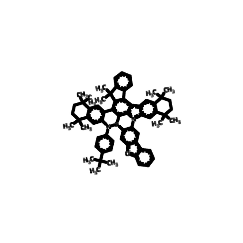 CC(C)(C)c1ccc(N2B3c4cc5oc6ccccc6c5cc4-n4c5cc6c(cc5c5c7c(c(c3c54)-c3cc4c(cc32)C(C)(C)CCC4(C)C)C(C)(C)c2ccccc2-7)C(C)(C)CCC6(C)C)cc1